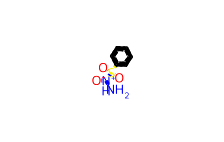 N[NH+]([O-])S(=O)(=O)c1ccccc1